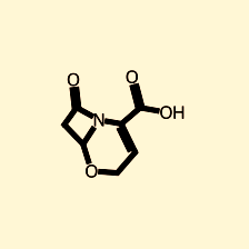 O=C(O)C1=CCOC2CC(=O)N12